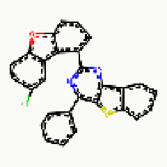 Clc1ccc2oc3cccc(-c4nc(-c5ccccc5)c5sc6ccccc6c5n4)c3c2c1